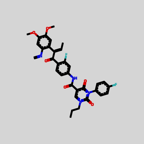 C=Nc1cc(OC)c(OC)cc1/C(=C\C)C(=O)c1ccc(NC(=O)c2cn(CCC)c(=O)n(-c3ccc(F)cc3)c2=O)cc1F